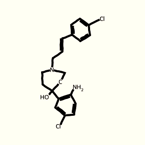 Nc1ccc(Cl)cc1C1(O)CCN(CC=Cc2ccc(Cl)cc2)CC1